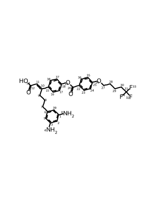 Nc1cc(N)cc(CCC/C(=C\C(=O)O)c2ccc(OC(=O)c3ccc(OCCCCC(F)(F)F)cc3)cc2)c1